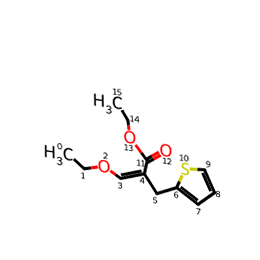 CCOC=C(Cc1cccs1)C(=O)OCC